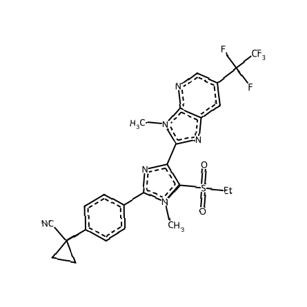 CCS(=O)(=O)c1c(-c2nc3cc(C(F)(F)C(F)(F)F)cnc3n2C)nc(-c2ccc(C3(C#N)CC3)cc2)n1C